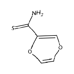 NC(=S)C1=COC=CO1